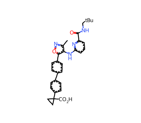 Cc1noc(-c2ccc(-c3ccc(C4(C(=O)O)CC4)cc3)cc2)c1Nc1cccc(C(=O)NCC(C)(C)C)n1